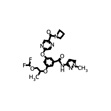 CC(COC(F)F)Oc1cc(Oc2cnc(C(=O)N3CCC3)cn2)cc(C(=O)Nc2ccn(C)n2)c1